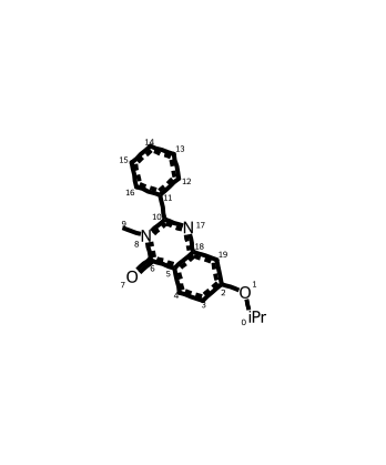 CC(C)Oc1ccc2c(=O)n(C)c(-c3ccccc3)nc2c1